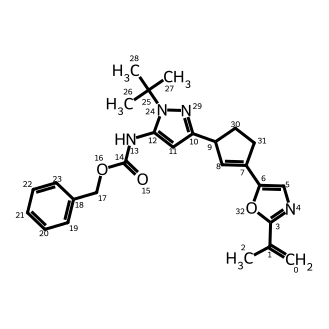 C=C(C)c1ncc(C2=CC(c3cc(NC(=O)OCc4ccccc4)n(C(C)(C)C)n3)CC2)o1